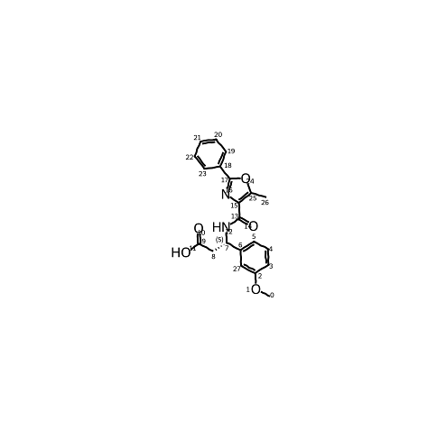 COc1cccc([C@H](CC(=O)O)NC(=O)c2nc(-c3ccccc3)oc2C)c1